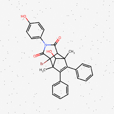 CC12C(c3ccccc3)=C(c3ccccc3)C(C)(C1O)C1(Br)C(=O)N(c3ccc(O)cc3)C(=O)C21